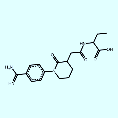 CCC(NC(=O)CC1CCCN(c2ccc(C(=N)N)cc2)C1=O)C(=O)O